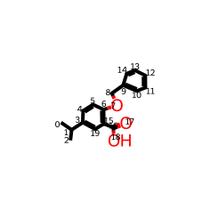 CC(C)c1ccc(OCc2ccccc2)c(C(=O)O)c1